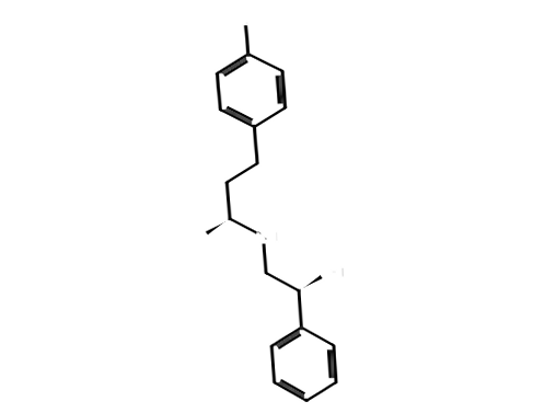 C[C@@H](CCc1ccc(O)cc1)NC[C@@H](O)c1ccccc1